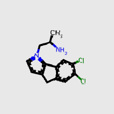 CC(N)Cn1ccc2c1-c1cc(Cl)c(Cl)cc1C2